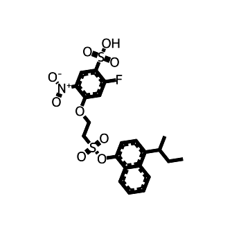 CCC(C)c1ccc(OS(=O)(=O)CCOc2cc(F)c(S(=O)(=O)O)cc2[N+](=O)[O-])c2ccccc12